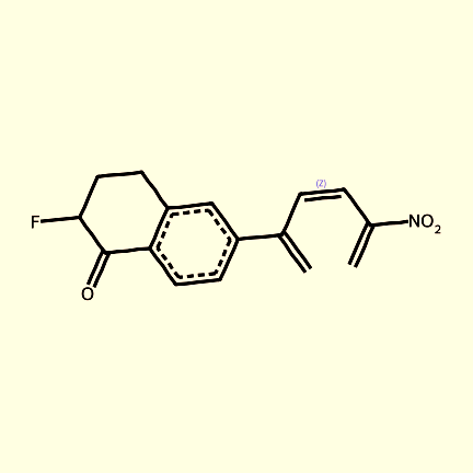 C=C(/C=C\C(=C)[N+](=O)[O-])c1ccc2c(c1)CCC(F)C2=O